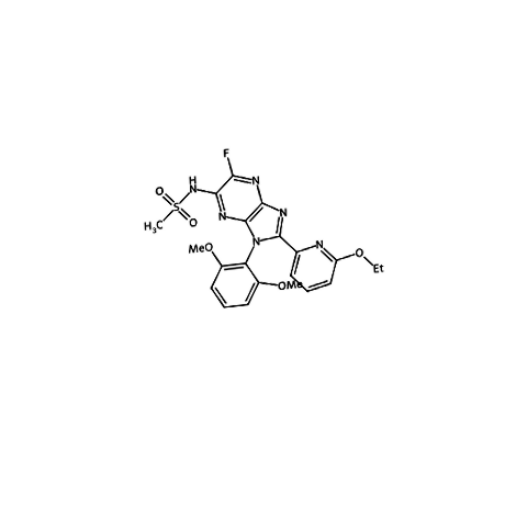 CCOc1cccc(-c2nc3nc(F)c(NS(C)(=O)=O)nc3n2-c2c(OC)cccc2OC)n1